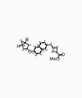 COC(=O)C1CN(Cc2ccc3cc(OC4C[C@@H]5C[C@@H]5C4)ccc3c2)C1